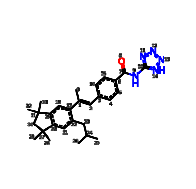 CC(=Cc1ccc(C(=O)Nc2nnn[nH]2)cc1)c1cc2c(cc1CC(C)C)C(C)(C)CC2(C)C